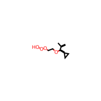 C=C(C)C(OCCOOO)=C1CC1